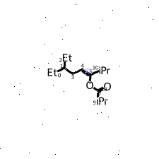 CCC(CC)C/C=C(\OC(=O)C(C)C)C(C)C